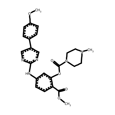 COC(=O)c1ccc(Nc2ncc(-c3ccc(OC)cc3)cn2)cc1OC(=O)N1CCN(C)CC1